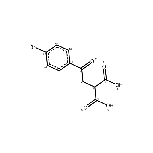 O=C(CC(C(=O)O)C(=O)O)c1ccc(Br)cc1